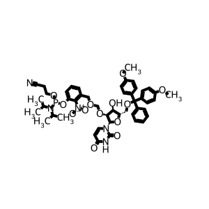 COc1ccc(C(OC[C@@H]2O[C@H](n3ccc(=O)[nH]c3=O)[C@@H](OCOCc3cccc(OP(OCCC#N)N(C(C)C)C(C)C)c3[N+](=O)[O-])[C@H]2O)(c2ccccc2)c2ccc(OC)cc2)cc1